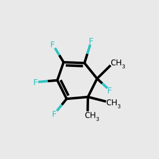 CC1(C)C(F)=C(F)C(F)=C(F)C1(C)F